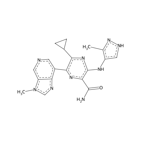 Cc1n[nH]cc1Nc1nc(C2CC2)c(-c2cncc3c2ncn3C)nc1C(N)=O